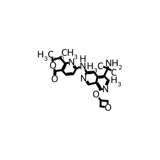 C[C@@H]1OC(=O)c2ccc(Nc3cc4c(C(C)(C)N)cnc(OC5COC5)c4cn3)nc2[C@H]1C